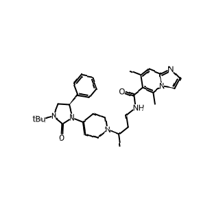 Cc1cc2nccn2c(C)c1C(=O)NCCC(C)N1CCC(N2C(=O)N(C(C)(C)C)C[C@H]2c2ccccc2)CC1